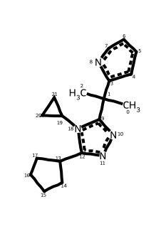 CC(C)(c1ccccn1)c1nnc(C2CCCC2)n1C1CC1